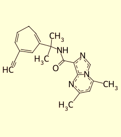 C#CC1=CC(C(C)(C)NC(=O)c2ncn3c(C)cc(C)nc23)=CCC=C1